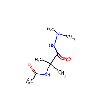 CN(C)NC(=O)C(C)(C)NC(=O)C(F)(F)F